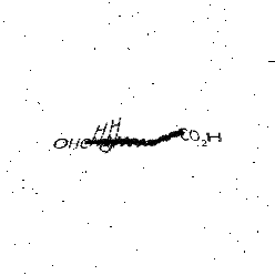 O=CCCNCCC(=O)NCCCCCCCCCCCCCCCCC(=O)O